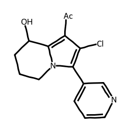 CC(=O)c1c(Cl)c(-c2cccnc2)n2c1C(O)CCC2